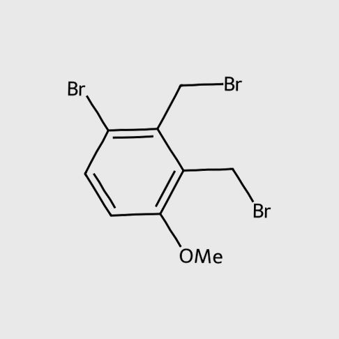 COc1ccc(Br)c(CBr)c1CBr